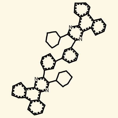 c1cc(-c2cccc(-c3nc4c5ccccc5c5ccccc5c4nc3C3CCCCC3)c2)cc(-c2nc3c4ccccc4c4ccccc4c3nc2C2CCCCC2)c1